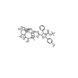 COc1ccc(C2OC(C(=O)O[C@H]3C[C@@]4(O)[C@@H](O)[C@@H]5[C@]6(O)CO[C@@H]6C[C@H](OC)[C@@]5(C)C(=O)[C@H](OC)C(=C3C)C4(C)C)C(c3ccccc3)N2C(=O)OC(C)(C)C)cc1